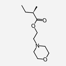 CC[C@@H](C)C(=O)OCCN1CCOCC1